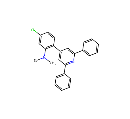 CCN(C)c1cc(Cl)ccc1-c1cc(-c2ccccc2)nc(-c2ccccc2)c1